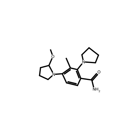 COC1CCCN1c1ccc(C(N)=O)c(N2CCCC2)c1C